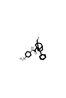 N[C@H]1CC[C@@H](NC(=O)C23CC4CC(CF)(C2)CC(c2ccccc2)(C4)C3)CC1